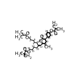 C=C(C)C(=O)OCCCCC/C(=C\c1oc(=O)c(-c2ccc(OC(=O)C(=C)C)cc2)cc1C)CCCCOC(=O)C(=C)C